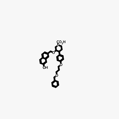 O=C(O)N1CCC(c2ccc(OCCCOCc3ccccc3)cc2)C(OCc2ccc3ccc(O)cc3c2)C1